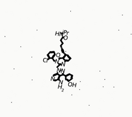 CC(C)NC(=O)CCCC#Cc1cccc2nc(Cn3nc(-c4cccc(O)c4)c4c(N)cncc43)n(Cc3ccccc3Cl)c(=O)c12